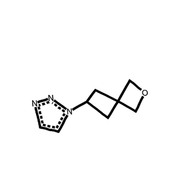 c1cn(C2CC3(COC3)C2)nn1